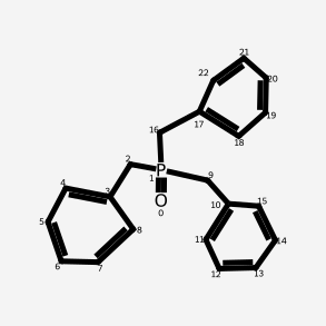 O=P(Cc1ccccc1)(Cc1ccccc1)Cc1ccccc1